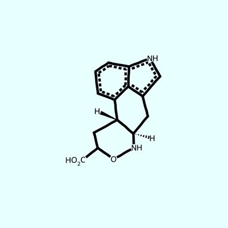 O=C(O)C1C[C@@H]2c3cccc4[nH]cc(c34)C[C@H]2NO1